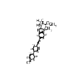 COCC(C)Nc1nc2cc(C#Cc3ccc(-c4ccc(Cl)cc4)cn3)ccc2n1C